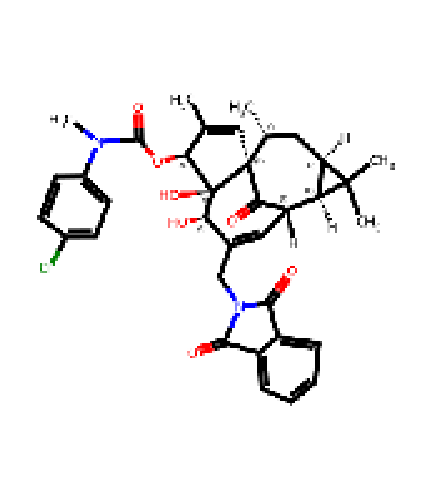 CC1=C[C@]23C(=O)[C@@H](C=C(CN4C(=O)c5ccccc5C4=O)[C@@H](O)[C@]2(O)[C@H]1OC(=O)N(C)c1ccc(Cl)cc1)[C@H]1[C@@H](C[C@H]3C)C1(C)C